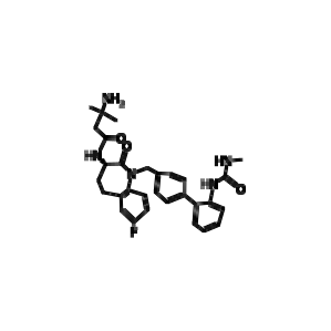 CNC(=O)Nc1ccccc1-c1ccc(CN2C(=O)[C@H](NC(=O)CC(C)(C)N)CCc3cc(F)ccc32)cc1